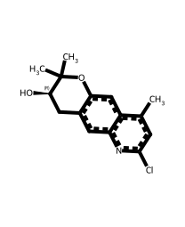 Cc1cc(Cl)nc2cc3c(cc12)OC(C)(C)[C@H](O)C3